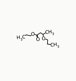 CCCOC(=O)CC(C)OCCC